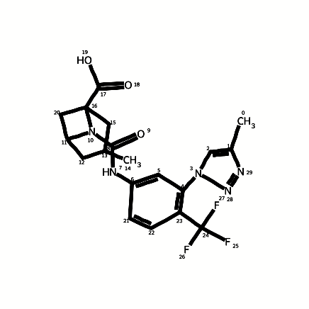 Cc1cn(-c2cc(NC(=O)N3C4CC(C)CC3(C(=O)O)C4)ccc2C(F)(F)F)nn1